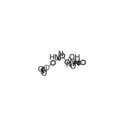 CS(=O)(=O)N1CCC(c2ccc(-c3cc4c(-c5ccnc(NC(=O)n6cc7ccccc7c6)c5CO)ccnc4[nH]3)cc2)CC1